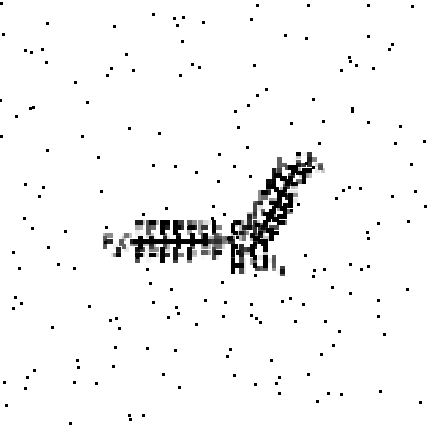 CC(NC(C)C(F)(F)C(F)(F)C(F)(F)C(F)(F)C(F)(F)C(F)(F)C(F)(F)C(F)(F)F)C(F)(F)C(F)(F)C(F)(F)C(F)(F)C(F)(F)C(F)(F)C(F)(F)C(F)(F)F